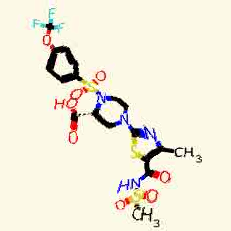 Cc1nc(N2CCN(S(=O)(=O)c3ccc(OC(F)(F)F)cc3)[C@@H](C(=O)O)C2)sc1C(=O)NS(C)(=O)=O